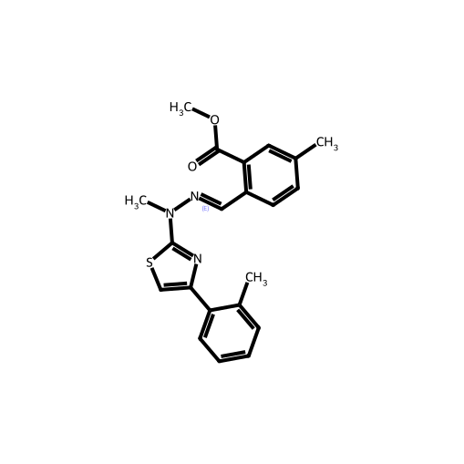 COC(=O)c1cc(C)ccc1/C=N/N(C)c1nc(-c2ccccc2C)cs1